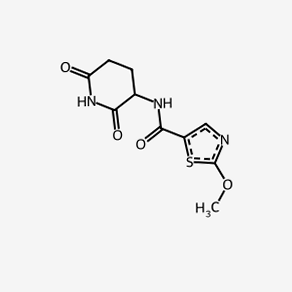 COc1ncc(C(=O)NC2CCC(=O)NC2=O)s1